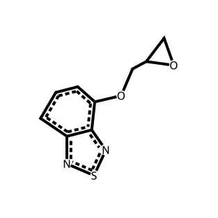 c1cc(OCC2CO2)c2nsnc2c1